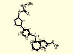 CC(C)(C)NC(=O)OC1CCC(c2cc(Nc3nccn4nc(CO)cc34)n[nH]2)C1